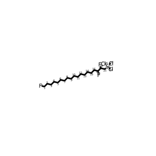 FCCCCCCCCCCCCCCCCC(F)C(F)C[Si](Cl)(Cl)Cl